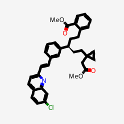 COC(=O)CC1(CC[C@H](CCc2ccccc2C(=O)OC)c2cccc(C=Cc3ccc4ccc(Cl)cc4n3)c2)CC1